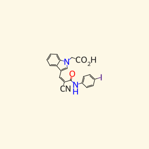 N#CC(=Cc1cn(CC(=O)O)c2ccccc12)C(=O)Nc1ccc(I)cc1